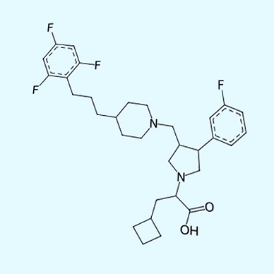 O=C(O)C(CC1CCC1)N1CC(CN2CCC(CCCc3c(F)cc(F)cc3F)CC2)C(c2cccc(F)c2)C1